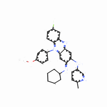 Cc1ccc(Nc2cc3nc4cc(F)ccc4n(-c4ccc(OC(F)(F)F)cc4)c-3cc2=NC2CCCCC2)cn1